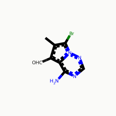 Cc1c(C=O)c2c(N)ncnn2c1Br